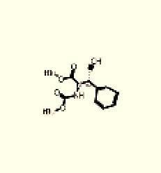 C#C[C@H](c1ccccc1)N(NC(=O)OC(C)(C)C)C(=O)OC(C)(C)C